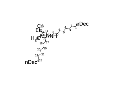 CCCCCCCCCCCCCCCCCCNN1CC(CC)[N+](C)=C1CCCCCCCCCCCCCCCCC.[Cl-]